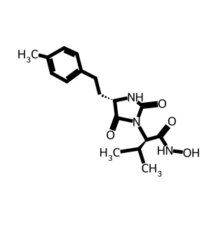 Cc1ccc(CC[C@@H]2NC(=O)N([C@@H](C(=O)NO)C(C)C)C2=O)cc1